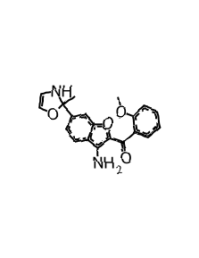 COc1ccccc1C(=O)c1oc2cc(C3(C)NC=CO3)ccc2c1N